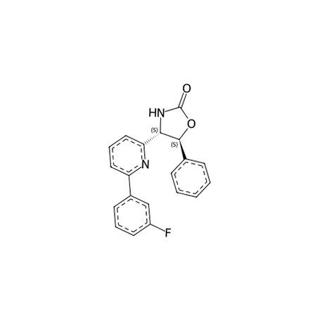 O=C1N[C@@H](c2cccc(-c3cccc(F)c3)n2)[C@H](c2ccccc2)O1